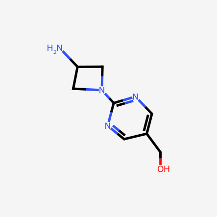 NC1CN(c2ncc(CO)cn2)C1